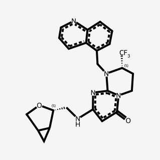 O=c1cc(NC[C@H]2OCC3CC32)nc2n1CC[C@@H](C(F)(F)F)N2Cc1cccc2ncccc12